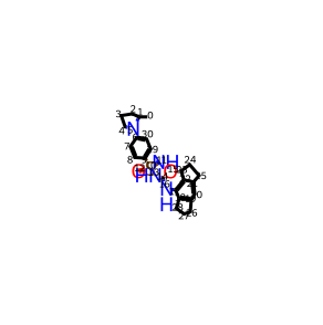 CC1CCCN1c1ccc(S(=N)(=O)NC(=O)Nc2c3c(cc4c2CCC4)CCC3)cc1